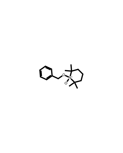 CC1(C)CCCC(C)(C)[N+]1([O])OCc1ccccc1